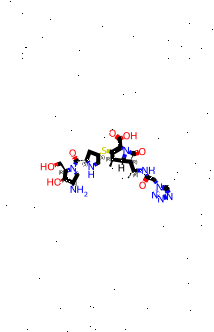 C[C@@H](NC(=O)Cn1cnnn1)[C@H]1C(=O)N2C(C(=O)O)=C(S[C@@H]3CN[C@H](C(=O)N4C[C@H](N)[C@@H](O)[C@H]4CO)C3)[C@H](C)[C@H]12